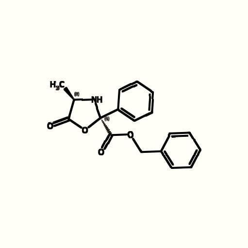 C[C@H]1N[C@@](C(=O)OCc2ccccc2)(c2ccccc2)OC1=O